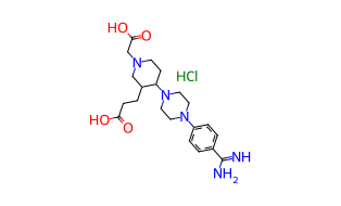 Cl.N=C(N)c1ccc(N2CCN(C3CCN(CC(=O)O)CC3CCC(=O)O)CC2)cc1